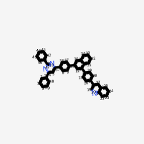 c1ccc(-c2cc(-c3ccc(-c4cc(-c5ccc(-c6cnc7ccccc7c6)cc5)c5ccccc5c4)cc3)nc(-c3ccccc3)n2)cc1